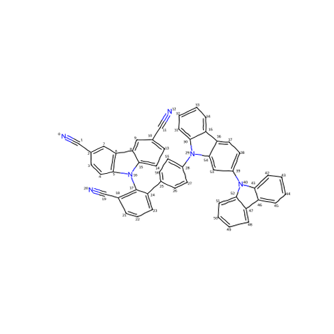 N#Cc1ccc2c(c1)c1cc(C#N)ccc1n2-c1c(C#N)cccc1-c1ccc(-n2c3ccccc3c3ccc(-n4c5ccccc5c5ccccc54)cc32)cc1